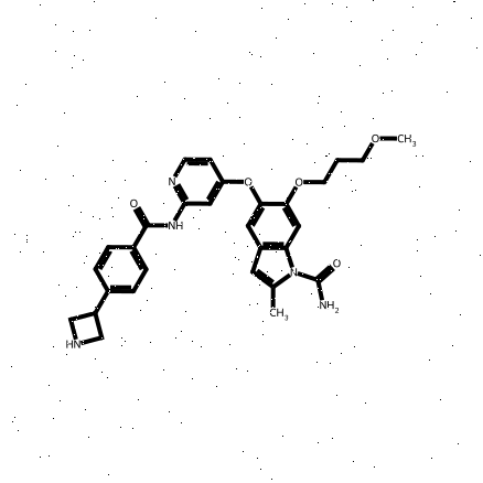 COCCCOc1cc2c(cc1Oc1ccnc(NC(=O)c3ccc(C4CNC4)cc3)c1)cc(C)n2C(N)=O